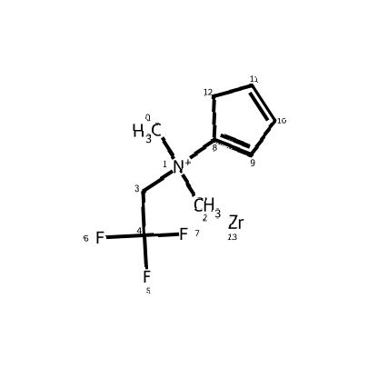 C[N+](C)(CC(F)(F)F)C1=CC=CC1.[Zr]